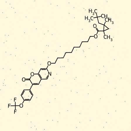 CC(C)(C)CC1(C)CC1(C)C(=O)OCCCCCCCCCCOc1cc2oc(=O)c(-c3ccc(OC(F)(F)F)cc3)cc2cn1